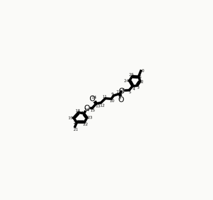 Cc1ccc(COC(=O)CCCCC(=O)COc2ccc(C)cc2)cc1